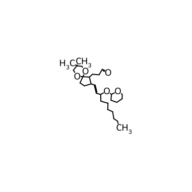 CCCCCCCC(C=CC1CCC2(OCC(C)(C)CO2)C1CCC=O)OC1CCCCO1